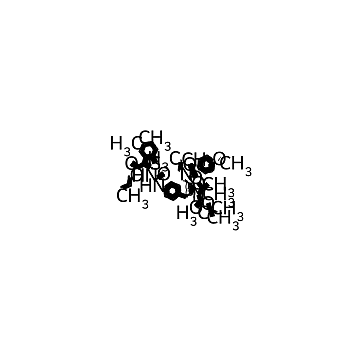 CCCCOC(=O)c1c(NC(=O)Nc2ccc(C[C@H]3[C@@H](CN(CC(C)C)S(=O)(=O)c4ccc(OC)cc4)OC(C)(C)N3C(=O)OC(C)(C)C)cc2)sc2c1CC(C)(C)CC2